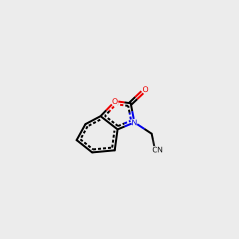 N#CCn1c(=O)oc2ccccc21